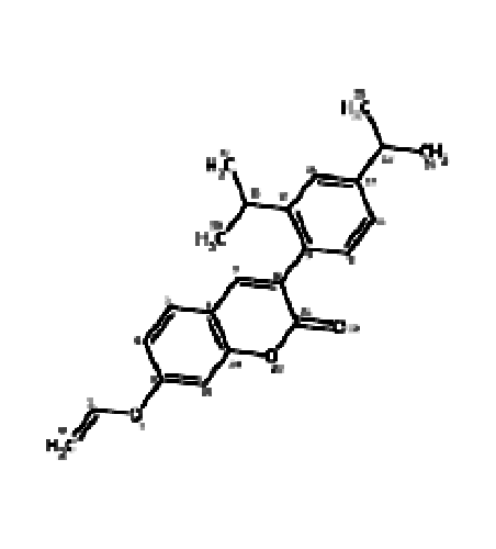 C=COc1ccc2cc(-c3ccc(C(C)C)cc3C(C)C)c(=O)oc2c1